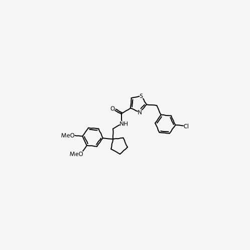 COc1ccc(C2(CNC(=O)c3csc(Cc4cccc(Cl)c4)n3)CCCC2)cc1OC